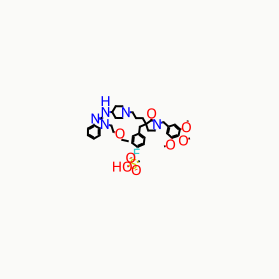 CCOCCn1c(NC2CCN(CCCC3(Cc4ccc(F)cc4)CCN(Cc4cc(OC)c(OC)c(OC)c4)C3=O)CC2)nc2ccccc21.CS(=O)(=O)O